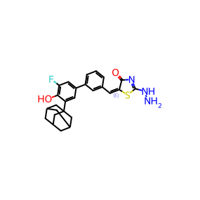 NNC1=NC(=O)/C(=C\c2cccc(-c3cc(F)c(O)c(C45CC6CC(CC(C6)C4)C5)c3)c2)S1